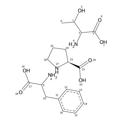 CC(O)C(N)C(=O)O.NC(Cc1ccccc1)C(=O)O.O=C(O)[C@@H]1CCCN1